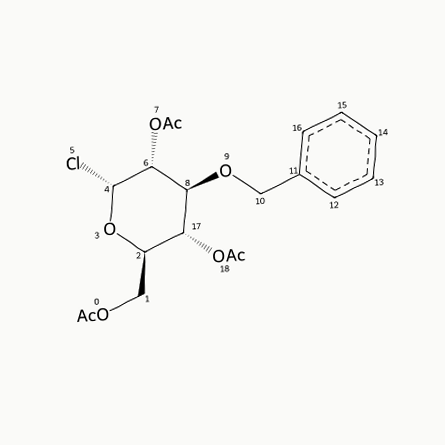 CC(=O)OC[C@H]1O[C@H](Cl)[C@H](OC(C)=O)[C@@H](OCc2ccccc2)[C@@H]1OC(C)=O